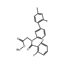 Cc1ccc(-c2cccc(N(CC(=O)OC(C)(C)C)C(=O)c3c(F)cccc3F)c2)c(F)c1